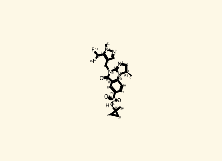 C[C@@H]1CN=C2N(Cc3cnn(C)c3C(F)F)C(=O)c3cc(S(=O)(=O)NC4(C)CC4)ccc3N21